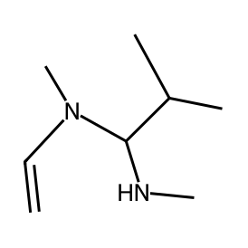 C=CN(C)C(NC)C(C)C